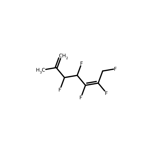 C=C(C)C(F)C(F)/C(F)=C(/F)CF